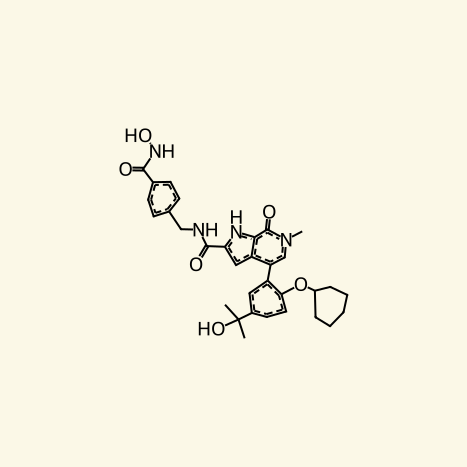 Cn1cc(-c2cc(C(C)(C)O)ccc2OC2CCCCC2)c2cc(C(=O)NCc3ccc(C(=O)NO)cc3)[nH]c2c1=O